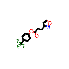 O=C(CCc1ccon1)Oc1ccc(C(F)(F)F)cc1